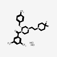 Cl.Cl.O=C(c1cc(C(F)(F)F)cc(C(F)(F)F)c1)N1CCN(CCN2CCC(F)(F)CC2)C[C@H]1Cc1ccc(C(F)(F)F)cc1